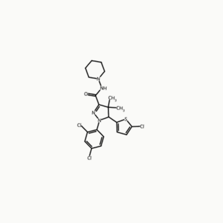 CC1(C)C(C(=O)NN2CCCCC2)=NN(c2ccc(Cl)cc2Cl)C1c1ccc(Cl)s1